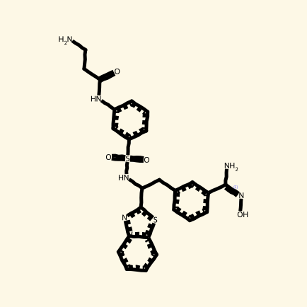 NCCC(=O)Nc1cccc(S(=O)(=O)NC(Cc2cccc(/C(N)=N\O)c2)c2nc3ccccc3s2)c1